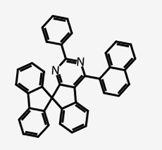 c1ccc(-c2nc(-c3cccc4ccccc34)c3c(n2)C2(c4ccccc4-c4ccccc42)c2ccccc2-3)cc1